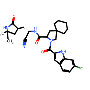 CC1(C)CC(C[C@@H](C#N)NC(=O)C2CC3(CCCCC3)CN2C(=O)c2cc3ccc(Cl)cc3[nH]2)C(=O)N1